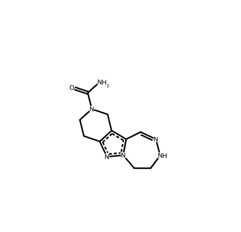 NC(=O)N1CCc2nn3c(c2C1)C=NNCC3